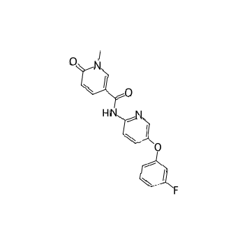 Cn1cc(C(=O)Nc2ccc(Oc3cccc(F)c3)cn2)ccc1=O